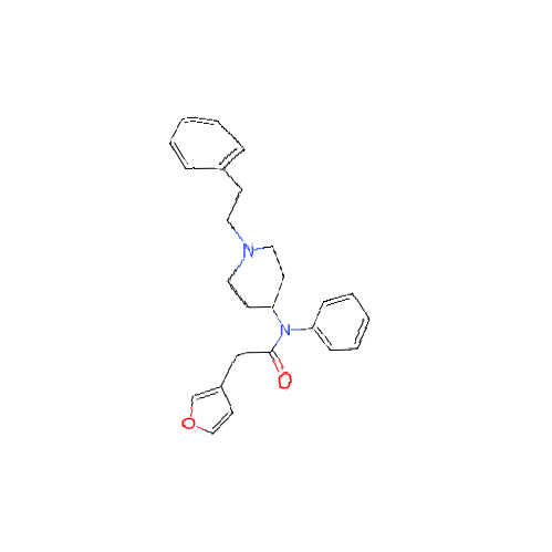 O=C(Cc1ccoc1)N(c1ccccc1)C1CCN(CCc2ccccc2)CC1